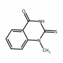 Cn1c(=S)[nH]c(=O)c2ccccc21